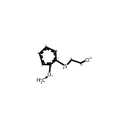 COc1ccccc1SCCCl